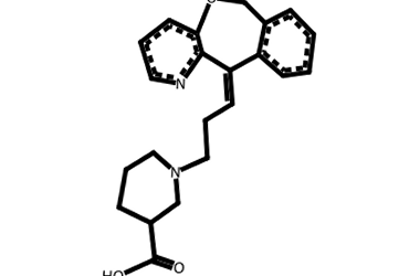 O=C(O)C1CCCN(CCC=C2c3ccccc3COc3cccnc32)C1